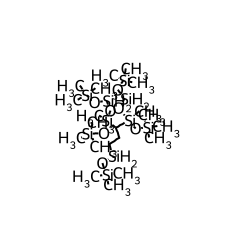 C[Si](C)(C)O[SiH2]CC[C]([Si](C)(O[SiH2]O[Si](C)(C)C)O[Si](C)(C)C)[Si](C)(O[SiH2]O[Si](C)(C)C)O[Si](C)(C)C